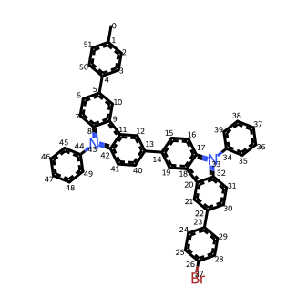 Cc1ccc(-c2ccc3c(c2)c2cc(-c4ccc5c(c4)c4cc(-c6ccc(Br)cc6)ccc4n5-c4ccccc4)ccc2n3-c2ccccc2)cc1